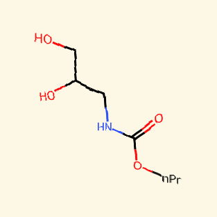 CCCOC(=O)NCC(O)CO